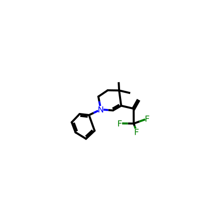 C=C(C1=CN(c2ccccc2)CCC1(C)C)C(F)(F)F